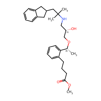 COC(=O)CCCc1ccccc1[C@@H](C)OC[C@@H](O)CNC(C)(C)CC1Cc2ccccc2C1